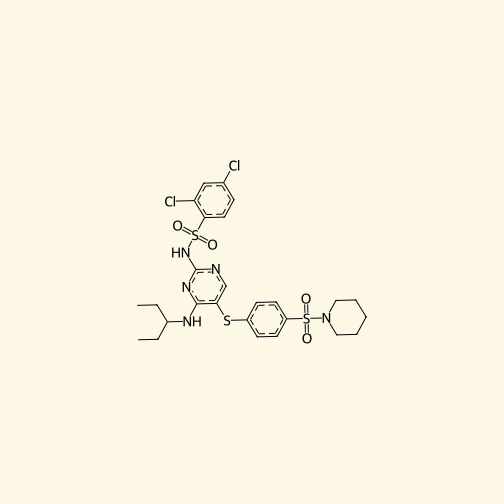 CCC(CC)Nc1nc(NS(=O)(=O)c2ccc(Cl)cc2Cl)ncc1Sc1ccc(S(=O)(=O)N2CCCCC2)cc1